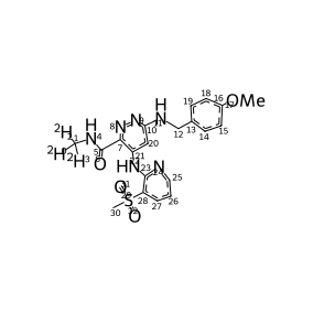 [2H]C([2H])([2H])NC(=O)c1nnc(NCc2ccc(OC)cc2)cc1Nc1ncccc1S(C)(=O)=O